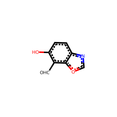 O=Cc1c(O)ccc2ncoc12